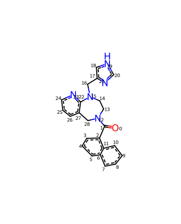 O=C(c1cccc2ccccc12)N1CCN(Cc2c[nH]cn2)c2ncccc2C1